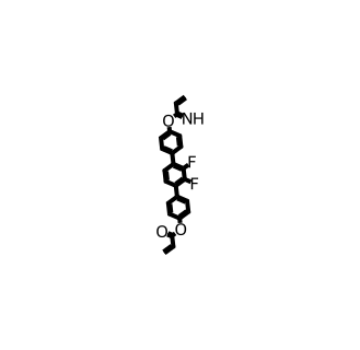 C=CC(=N)Oc1ccc(-c2ccc(-c3ccc(OC(=O)C=C)cc3)c(F)c2F)cc1